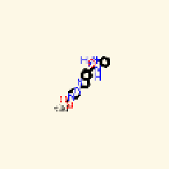 CC(C)(C)OC(=O)N1CCN(c2ccc3cc(C(=O)Nc4ccccc4N)ccc3n2)CC1